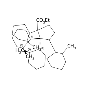 CCOC(=O)C1(C2CCCCC2C)CC[C](C2CCCCC2C)C1([C@@H]1CCCC[C@H]1C)[C@@H]1CCCC[C@@H]1C